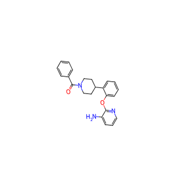 Nc1cccnc1Oc1ccccc1C1CCN(C(=O)c2ccccc2)CC1